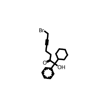 O=C(CCC#CCBr)C(O)(c1ccccc1)C1CCCCC1